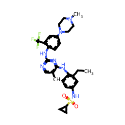 CCc1cc(NS(=O)(=O)C2CC2)ccc1Nc1nc(Nc2ccc(N3CCN(C)CC3)cc2C(F)(F)F)ncc1C